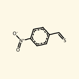 O=[N+]([O-])c1ccc(C=S)cc1